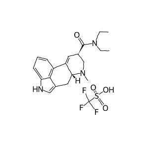 CCN(CC)C(=O)[C@@H]1C=C2c3cccc4[nH]cc(c34)C[C@H]2N(C)C1.O=S(=O)(O)C(F)(F)F